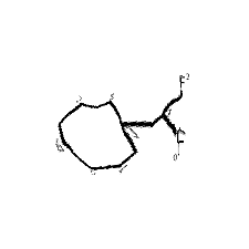 FC(F)C1[CH]CC[CH]C1